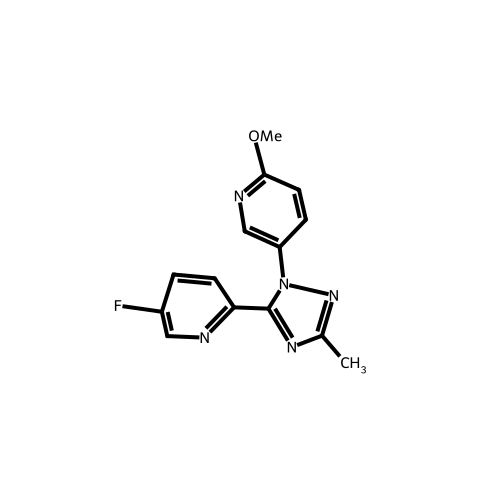 COc1ccc(-n2nc(C)nc2-c2ccc(F)cn2)cn1